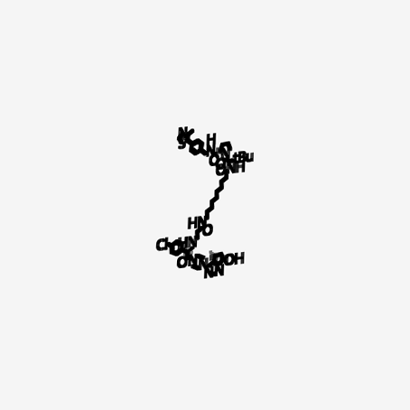 Cc1ncsc1-c1ccc(CNC(=O)[C@@H]2CCCN2C(=O)C(NC(=O)CCCCCCCCCNC(=O)CCNC[C@@H](C(=O)N2CCN(c3ncnc4c3[C@H](C)C[C@H]4O)CC2)c2ccc(Cl)cc2)C(C)(C)C)cc1